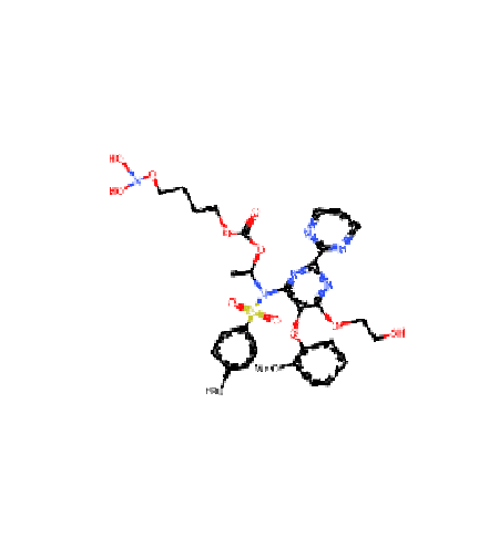 COc1ccccc1Oc1c(OCCO)nc(-c2ncccn2)nc1N(C(C)OC(=O)OCCCCON(O)O)S(=O)(=O)c1ccc(C(C)(C)C)cc1